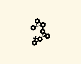 CC1(C)c2ccccc2-c2ccc(-n3c4ccccc4c4cc(-c5cccc(-c6ccccc6Nc6ccccc6)c5)ccc43)cc21